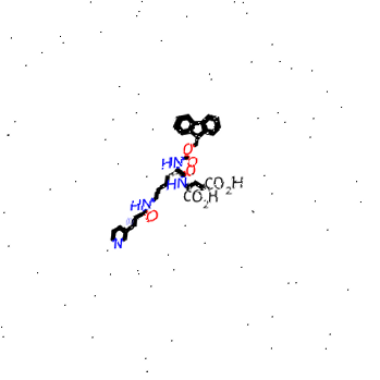 O=C(O)CC[C@H](NC(=O)[C@H](CCCCNC(=O)/C=C/c1cccnc1)NC(=O)OCC1c2ccccc2-c2ccccc21)C(=O)O